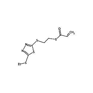 C=CC(=O)SCCSc1nnc(SCC)s1